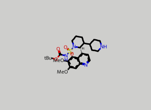 COc1cc2nccc([C@H]3C(C4CCNCC4)CCCN3S(=O)(=O)NC(=O)OC(C)(C)C)c2cc1OC